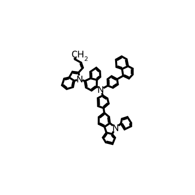 C=C/C=C\c1cc2ccccc2n1-c1ccc(N(c2ccc(-c3ccc4c5ccccc5n(-c5ccccc5)c4c3)cc2)c2ccc(-c3cccc4ccccc34)cc2)c2ccccc12